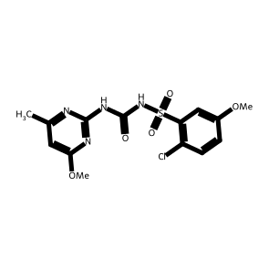 COc1ccc(Cl)c(S(=O)(=O)NC(=O)Nc2nc(C)cc(OC)n2)c1